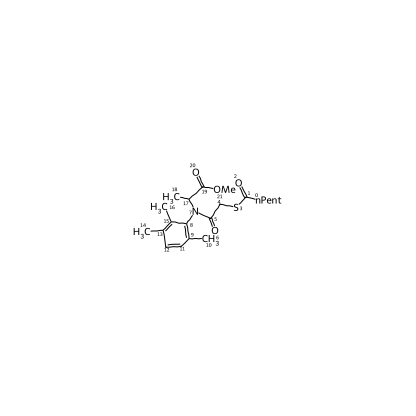 CCCCCC(=O)SCC(=O)N(c1c(C)ccc(C)c1C)C(C)C(=O)OC